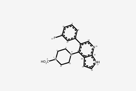 O=C(O)N1CCN(c2c(-c3cccc(F)c3)cnc3[nH]ccc23)CC1